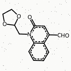 O=Cc1cc(=O)n(CC2OCCO2)c2ccccc12